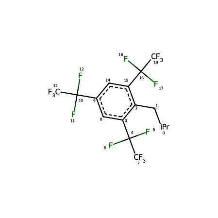 CC(C)[CH]c1c(C(F)(F)C(F)(F)F)cc(C(F)(F)C(F)(F)F)cc1C(F)(F)C(F)(F)F